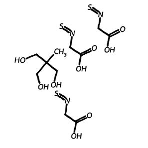 CC(CO)(CO)CO.O=C(O)CN=S.O=C(O)CN=S.O=C(O)CN=S